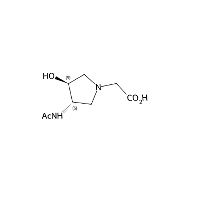 CC(=O)N[C@H]1CN(CC(=O)O)C[C@@H]1O